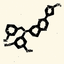 COc1cc(OC)cc(N(Cc2ccnc(C#N)c2)c2ccc3ncc(-c4cnn(C)c4)nc3c2)c1